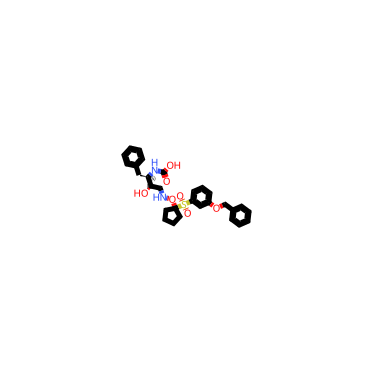 O=C(O)N[C@@H](Cc1ccccc1)[C@H](O)CNOC1(S(=O)(=O)c2cccc(OCc3ccccc3)c2)CCCC1